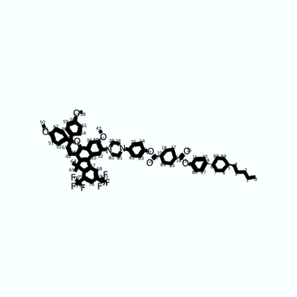 CCCCC[C@H]1CC[C@H](c2ccc(OC(=O)[C@H]3CC[C@H](C(=O)Oc4ccc(N5CCN(c6cc7c8c(c9c(c7cc6OC)OC(c6ccc(OC)cc6)(c6ccc(OC)cc6)C=C9)C(C)(C)c6c-8cc(C(F)(F)F)cc6C(F)(F)F)CC5)cc4)CC3)cc2)CC1